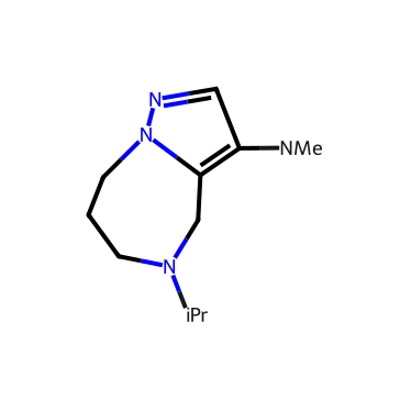 CNc1cnn2c1CN(C(C)C)CCC2